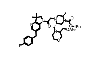 COCC1COCCN1C[C@H]1CN(C(=O)OC(C)(C)C)[C@H](C)CN1CC(=O)N1CC(C)(C)c2ncc(Cc3ccc(F)cc3)cc21